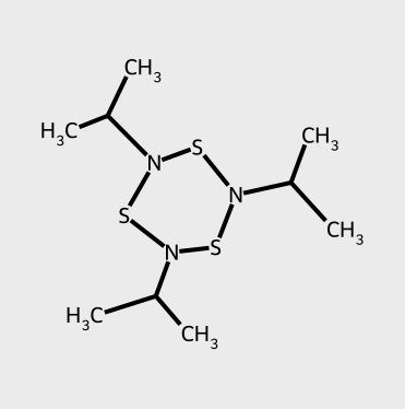 CC(C)N1SN(C(C)C)SN(C(C)C)S1